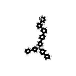 c1ccc(-c2ccc(N(c3ccc(-c4ccccc4)cc3)c3ccc(-c4ccc(-c5cccc(-c6cccc7c6oc6cccnc67)c5)cc4)cc3)cc2)cc1